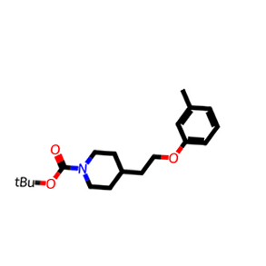 Cc1cccc(OCCC2CCN(C(=O)OC(C)(C)C)CC2)c1